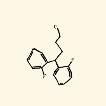 Fc1ccccc1C(CCCCl)c1ccccc1F